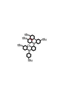 CC(C)(C)c1ccc(-c2cc(C(C)(C)C)ccc2N(c2ccc(C(C)(C)C)cc2)c2cccc(N(c3ccc(C(C)(C)C)cc3)c3ccc(C(C)(C)C)cc3)c2Cl)cc1